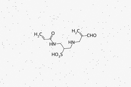 C=CC(=O)NCC(CNCC(=C)C=O)S(=O)(=O)O